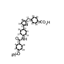 CC(C)Oc1ccc(C(=O)Nc2ccc(-c3csc(Cc4ccc(C(=O)O)cc4)n3)cc2)cc1